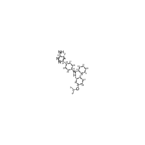 CC(C)Oc1ccc(-c2ccccc2Nc2ccc(-c3nnc(N)s3)cc2)cc1